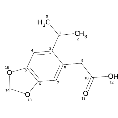 CC(C)c1cc2c(cc1CC(=O)O)OCO2